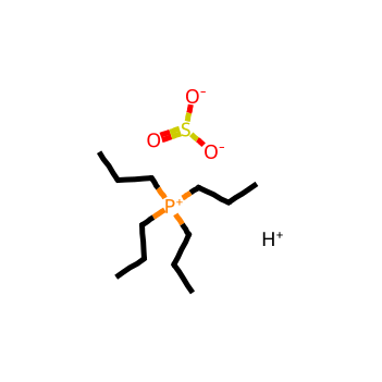 CCC[P+](CCC)(CCC)CCC.O=S([O-])[O-].[H+]